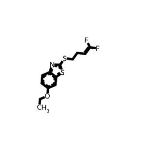 CCOc1ccc2nc(SCCC=C(F)F)sc2c1